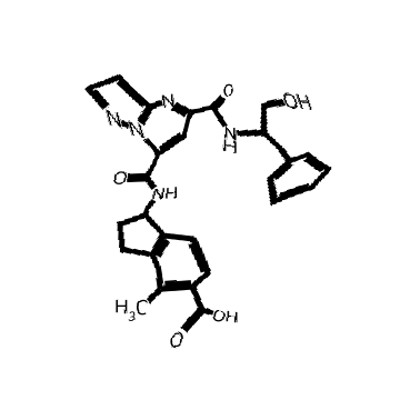 Cc1c(C(=O)O)ccc2c1CCC2NC(=O)c1cc(C(=O)NC(CO)c2ccccc2)nc2ccnn12